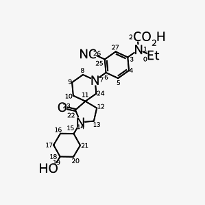 CCN(C(=O)O)c1ccc(N2CCCC3(CCN(C4CCC(O)CC4)C3=O)C2)c(C#N)c1